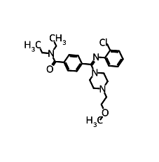 CCN(CC)C(=O)c1ccc(C(=Nc2ccccc2Cl)N2CCN(CCOC)CC2)cc1